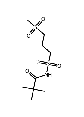 CC(C)(C)C(=O)NS(=O)(=O)CCCS(C)(=O)=O